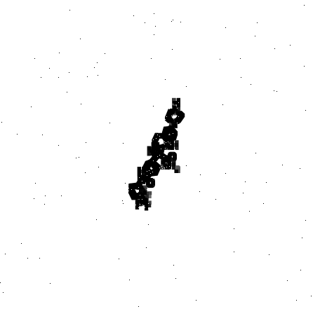 NC(=O)c1c(-c2ccc(C(=O)Nc3cccc(C(F)(F)F)n3)cc2)nn2c1Nc1ccc(N3CCNCC3)cc1CC2